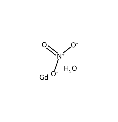 O.O=[N+]([O-])[O-].[Gd]